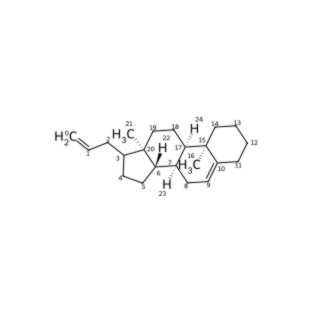 C=CCC1CC[C@H]2[C@@H]3CC=C4CCCC[C@]4(C)[C@@H]3CC[C@]12C